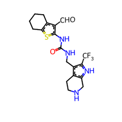 O=Cc1c(NC(=O)NCc2c(C(F)(F)F)[nH]c3c2CCNC3)sc2c1CCCC2